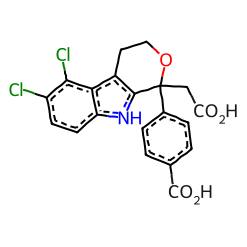 O=C(O)CC1(c2ccc(C(=O)O)cc2)OCCc2c1[nH]c1ccc(Cl)c(Cl)c21